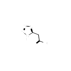 O=C(O)CC1=[N+]N=NN1